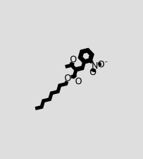 CCCCCCCCOC(=O)/C(=C/c1ccccc1[N+](=O)[O-])C(C)=O